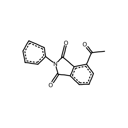 CC(=O)c1cccc2c1C(=O)N(c1ccccc1)C2=O